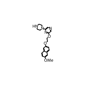 COc1ccc2cc(OCCOc3cncc(N4CCNCC4)n3)ccc2c1